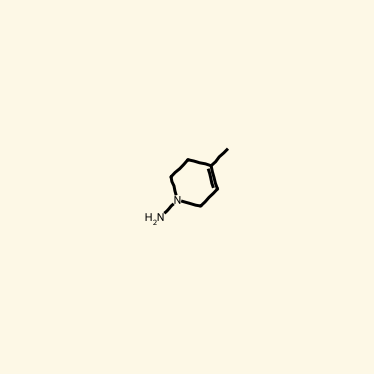 CC1=CCN(N)CC1